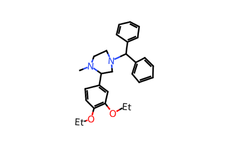 CCOc1ccc(C2CN(C(c3ccccc3)c3ccccc3)CCN2C)cc1OCC